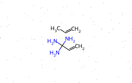 C=CC.C=CC(N)(N)N